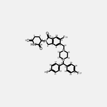 O=C1CCC(N2Cc3cc(CN4CCN(C(c5ccc(F)cc5)c5ccc(F)cc5)CC4)c(F)cc3C2=O)C(=O)N1